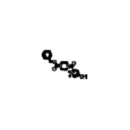 C[N+]1(C)C[C@H](O)C[C@H]1C(=O)N1CCN(C(=O)OCc2ccccc2)CC1